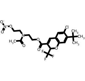 CC(=O)N(CCOC(=O)C1=Cc2cc(Cl)c(C(C)(C)C)cc2OC1C(F)(F)F)CCO[N+](=O)[O-]